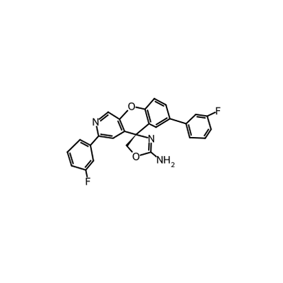 NC1=N[C@@]2(CO1)c1cc(-c3cccc(F)c3)ccc1Oc1cnc(-c3cccc(F)c3)cc12